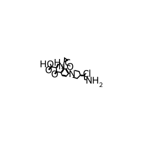 COc1c(N2CCC(=C(Cl)CN)CC2)ccc2c(=O)c(C(=O)O)cn(C3CC3)c12